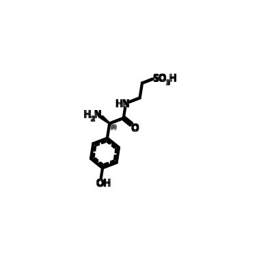 N[C@@H](C(=O)NCCS(=O)(=O)O)c1ccc(O)cc1